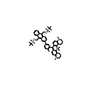 Cc1ccc(-c2ccc3c(CO[Si](C)(C)C(C)(C)C)c4ccccc4c(CO[Si](C)(C)C(C)(C)C)c3c2)cc1C1=c2ccc3c(c2[Si](C)(C)c2c1ccc1c2CCCN1C)CCC[N+]=3C